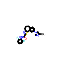 CC(C)(C)c1cn(-c2ccc3c(c2)-c2sc(C(=O)Nc4c(F)cccc4F)nc2CCC3)cn1